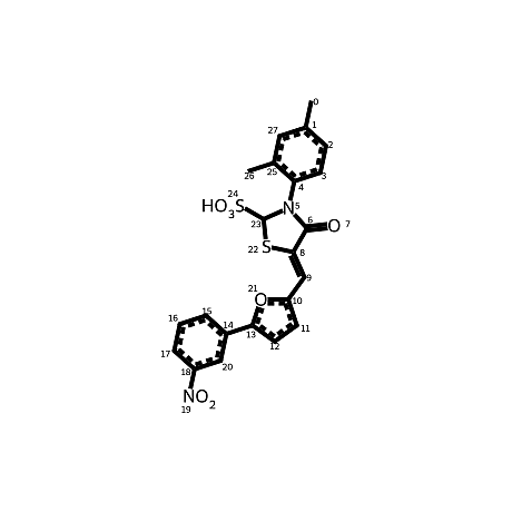 Cc1ccc(N2C(=O)C(=Cc3ccc(-c4cccc([N+](=O)[O-])c4)o3)SC2S(=O)(=O)O)c(C)c1